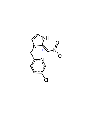 O=[N+]([O-])/C=C1\NC=CN1Cc1ccc(Cl)cn1